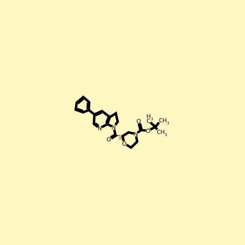 CC(C)(C)OC(=O)N1CCO[C@H](C(=O)N2CCc3cc(-c4ccccc4)cnc32)C1